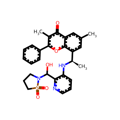 Cc1cc([C@@H](C)Nc2cccnc2C(O)N2CCCS2(=O)=O)c2oc(-c3ccccc3)c(C)c(=O)c2c1